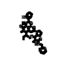 CCC(C)C(C(CC(=O)N1CCCC1C(OC)C(C)C(=O)NCc1ncccn1)OC)N(C)C(=O)CNC(=O)C1NC2CCC1C2